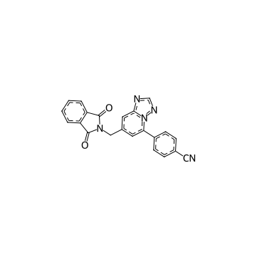 N#Cc1ccc(-c2cc(CN3C(=O)c4ccccc4C3=O)cc3ncnn23)cc1